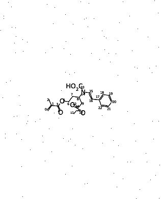 C=C(C)C(=O)OCCC(CS(C)(=O)=O)N(C=Cc1ccccc1)C(=O)O